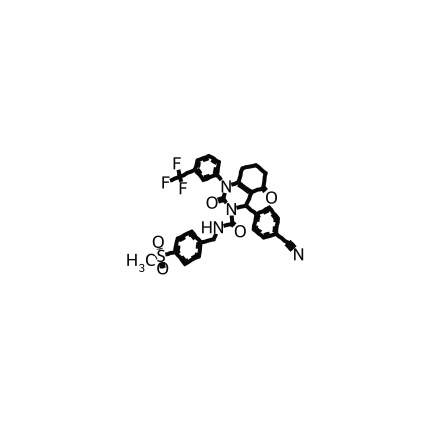 CS(=O)(=O)c1ccc(CNC(=O)N2C(=O)N(c3cccc(C(F)(F)F)c3)C3=C(C(=O)CCC3)C2c2ccc(C#N)cc2)cc1